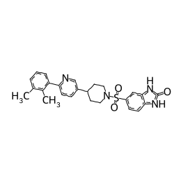 Cc1cccc(-c2ccc(C3CCN(S(=O)(=O)c4ccc5[nH]c(=O)[nH]c5c4)CC3)cn2)c1C